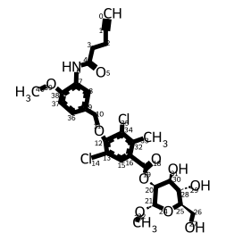 C#CCCC(=O)Nc1cc(COc2c(Cl)cc(C(=O)O[C@H]3[C@@H](OC)O[C@H](CO)[C@@H](O)[C@@H]3O)c(C)c2Cl)ccc1OC